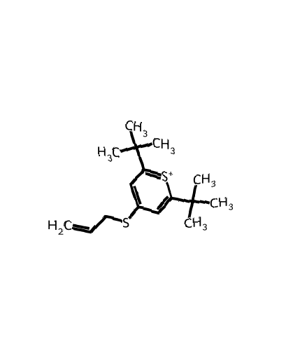 C=CCSc1cc(C(C)(C)C)[s+]c(C(C)(C)C)c1